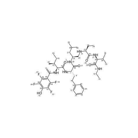 C=C(N[C@H](C(=O)N[C@@H](CCc1ccccc1)C(=O)N[C@H](CN[C@@H](CC)C(=O)N[C@H](C(=O)NCC)C(C)C)CC(C)C)[C@@H](C)CC)c1c(F)c(F)c(O)c(F)c1F